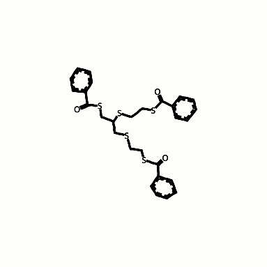 O=C(SCCSCC(CSC(=O)c1ccccc1)SCCSC(=O)c1ccccc1)c1ccccc1